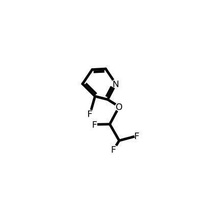 Fc1cccnc1OC(F)C(F)F